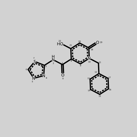 O=C(Nc1nncs1)c1cn(Cc2ccccc2)c(=O)cc1O